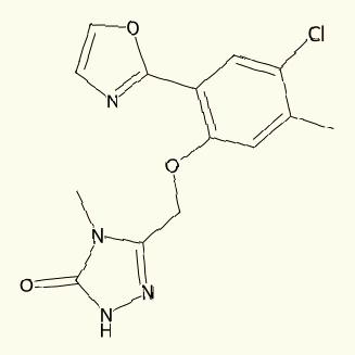 Cc1cc(OCc2n[nH]c(=O)n2C)c(-c2ncco2)cc1Cl